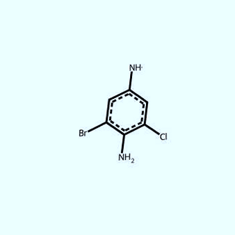 [NH]c1cc(Cl)c(N)c(Br)c1